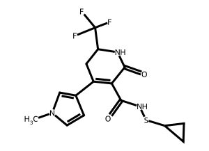 Cn1ccc(C2=C(C(=O)NSC3CC3)C(=O)NC(C(F)(F)F)C2)c1